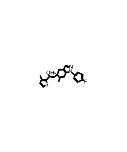 CC1=Cc2c(cnn2-c2ccc(F)cc2)C[C@@]1(C)CC(O)c1sccc1C